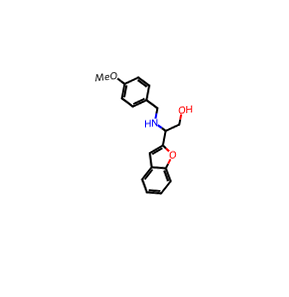 COc1ccc(CNC(CO)c2cc3ccccc3o2)cc1